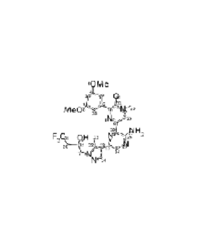 COc1cc(OC)cc(-c2nc(-c3nc(-c4cnn(CC(O)CC(F)(F)F)c4C)cnc3N)cn(C)c2=O)c1